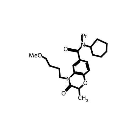 COCCCCN1C(=O)C(C)Oc2ccc(C(=O)N(C(C)C)C3CCCCC3)cc21